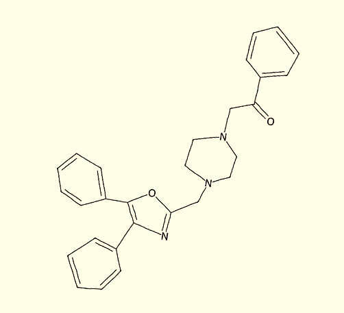 O=C(CN1CCN(Cc2nc(-c3ccccc3)c(-c3ccccc3)o2)CC1)c1ccccc1